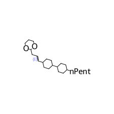 CCCCCC1CCC(C2CCC(/C=C/CC3OCCCO3)CC2)CC1